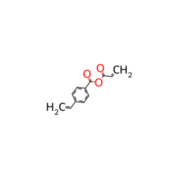 C=CC(=O)OC(=O)c1ccc(C=C)cc1